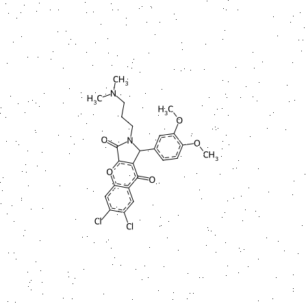 COc1ccc(C2c3c(oc4cc(Cl)c(Cl)cc4c3=O)C(=O)N2CCCN(C)C)cc1OC